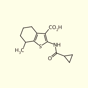 CC1CCCc2c1sc(NC(=O)C1CC1)c2C(=O)O